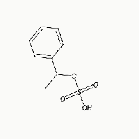 CC(OS(=O)(=O)O)c1ccccc1